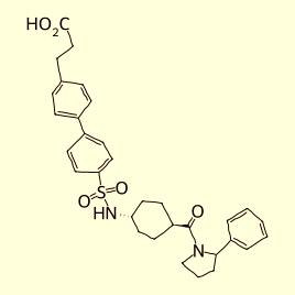 O=C(O)CCc1ccc(-c2ccc(S(=O)(=O)N[C@H]3CC[C@H](C(=O)N4CCCC4c4ccccc4)CC3)cc2)cc1